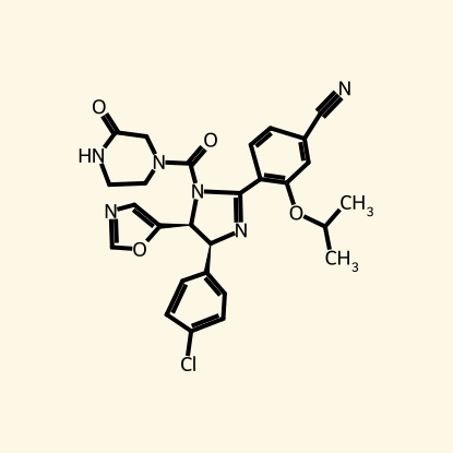 CC(C)Oc1cc(C#N)ccc1C1=N[C@@H](c2ccc(Cl)cc2)[C@@H](c2cnco2)N1C(=O)N1CCNC(=O)C1